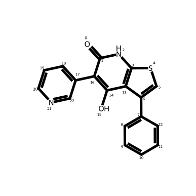 O=c1[nH]c2scc(-c3ccccc3)c2c(O)c1-c1cccnc1